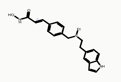 CCN(CCc1ccc2[nH]ccc2c1)Cc1ccc(/C=C/C(=O)NO)cc1